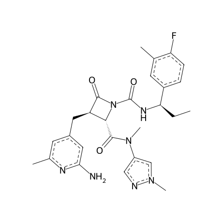 CC[C@@H](NC(=O)N1C(=O)[C@H](Cc2cc(C)nc(N)c2)[C@H]1C(=O)N(C)c1cnn(C)c1)c1ccc(F)c(C)c1